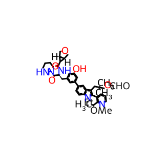 CCn1c(-c2cccnc2[C@H](C)OC)c(CC(C)(C)COC=O)c2cc(-c3cc(O)cc(C[C@H](NC(=O)C4[C@H]5COC[C@@H]45)C(=O)N4CCCCN4)c3)ccc21